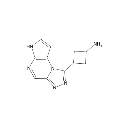 NC1CC(c2nnc3cnc4[nH]ccc4n23)C1